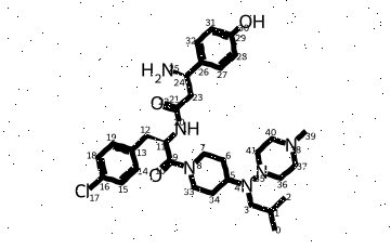 CC(C)CN(C1CCN(C(=O)[C@@H](Cc2ccc(Cl)cc2)NC(=O)C[C@@H](N)c2ccc(O)cc2)CC1)N1CCN(C)CC1